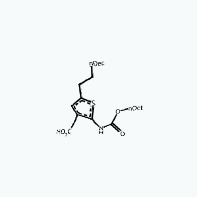 CCCCCCCCCCCCc1cc(C(=O)O)c(NC(=O)OCCCCCCCC)s1